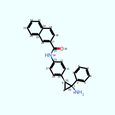 N[C@@]1(c2ccccc2)C[C@H]1c1ccc(NC(=O)c2ccc3ccccc3c2)cc1